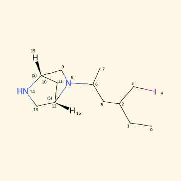 CCC(CI)CC(C)N1C[C@@H]2C[C@H]1CN2